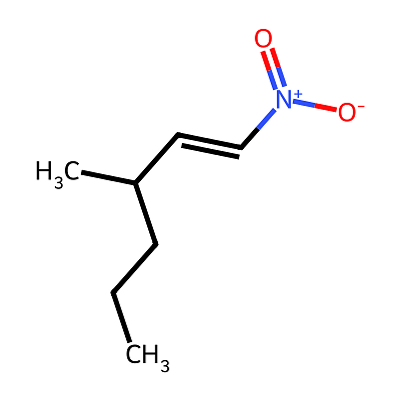 CCCC(C)/C=C/[N+](=O)[O-]